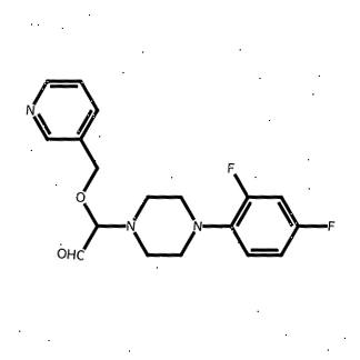 O=CC(OCc1cccnc1)N1CCN(c2ccc(F)cc2F)CC1